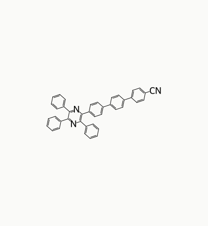 N#Cc1ccc(-c2ccc(-c3ccc(-c4nc(-c5ccccc5)c(-c5ccccc5)nc4-c4ccccc4)cc3)cc2)cc1